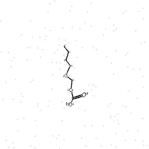 CCCCOCOC(=O)O